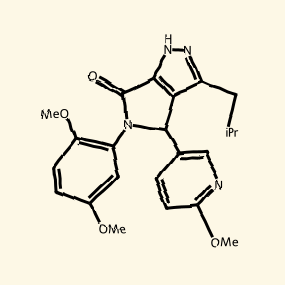 COc1ccc(OC)c(N2C(=O)c3[nH]nc(CC(C)C)c3C2c2ccc(OC)nc2)c1